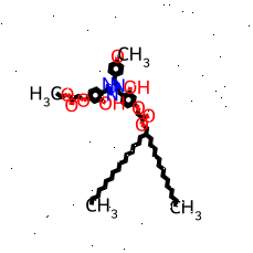 CCCCCCCCCCCCCCCCC(CCCCCCCCCCCCCC)COC(=O)COc1ccc(-c2nc(-c3ccc(OC)cc3)nc(-c3ccc(OCC(=O)OCC)cc3O)n2)c(O)c1